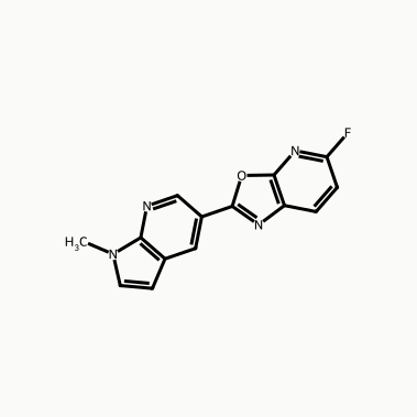 Cn1ccc2cc(-c3nc4ccc(F)nc4o3)cnc21